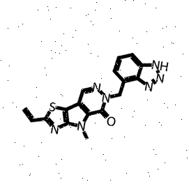 C=Cc1nc2c(s1)c1cnn(Cc3cccc4[nH]nnc34)c(=O)c1n2C